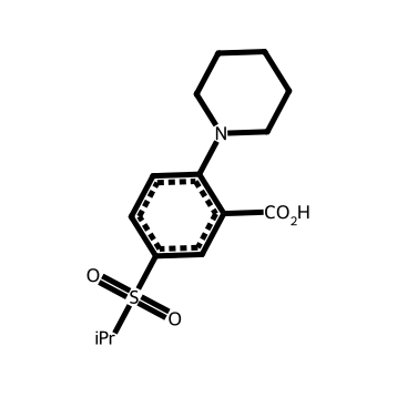 CC(C)S(=O)(=O)c1ccc(N2CCCCC2)c(C(=O)O)c1